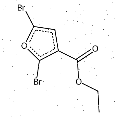 CCOC(=O)c1cc(Br)oc1Br